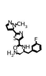 Cn1nccc1-c1ncc(C(=O)N[C@H](CN)Cc2cccc(F)c2)s1